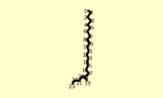 CCCCCCCCC=CCCCCCCCCC(C)CCCC